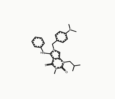 CC(C)Cn1c(=O)n(C)c(=S)c2c(Nc3ccccc3)n(Cc3ccc(N(C)C)cc3)cc21